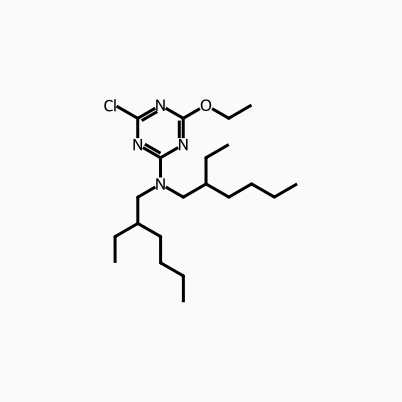 CCCCC(CC)CN(CC(CC)CCCC)c1nc(Cl)nc(OCC)n1